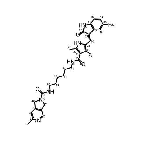 Cc1cc2c(cn1)CN(C(=O)NCCCCCCNC(=O)c1c(C)[nH]c(C=C3C(=O)Nc4ccc(F)cc43)c1C)C2